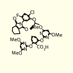 C#CC(C)Oc1cc(N2C(=O)C3=C(CCCC3)C2=O)c(F)cc1Cl.COc1cc(OC)nc(Oc2cccc(Oc3nc(OC)cc(OC)n3)c2C(=O)O)n1